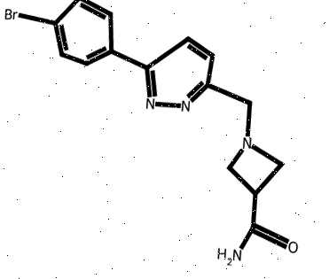 NC(=O)C1CN(Cc2ccc(-c3ccc(Br)cc3)nn2)C1